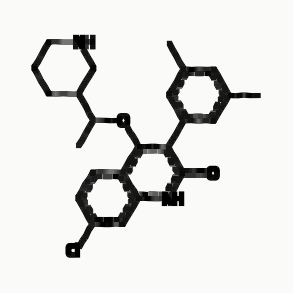 Cc1cc(C)cc(-c2c(OC(C)C3CCCNC3)c3ccc(Cl)cc3[nH]c2=O)c1